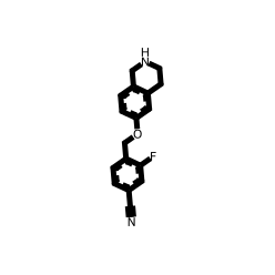 N#Cc1ccc(COc2ccc3c(c2)CCNC3)c(F)c1